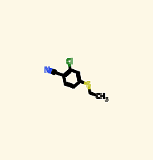 CCSc1ccc(C#N)c(Cl)c1